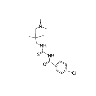 CN(C)CC(C)(C)CNC(=S)NC(=O)c1ccc(Cl)cc1